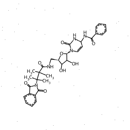 CC(C)(C(=O)NC[C@H]1O[C@@H](N2C=CC(NC(=O)c3ccccc3)NC2=O)C(O)C1O)C(C)(C)N1C(=O)c2ccccc2C1=O